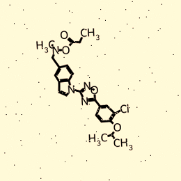 CCC(=O)ON(C)Cc1ccc2c(ccn2-c2noc(-c3ccc(OC(C)C)c(Cl)c3)n2)c1